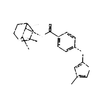 Cc1csc(Oc2ccc(C(=O)N[C@@H]3C4CCN(CC4)[C@H]3C)cc2)c1